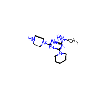 CNc1nc(N2CCCCC2)nc(N2CCNCC2)n1